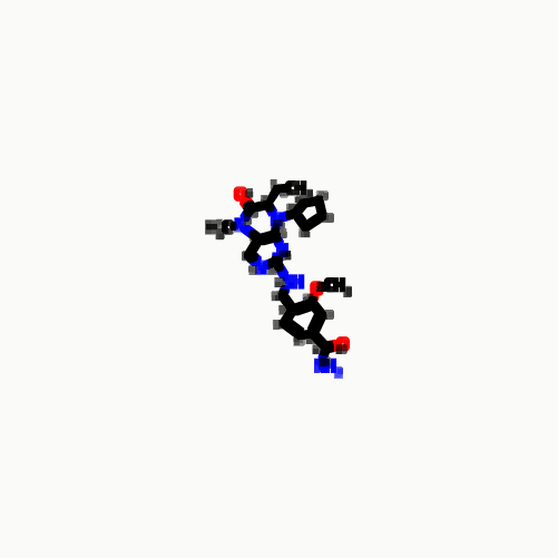 CC[C@@H]1C(=O)N(C)c2cnc(NCc3ccc(C(N)=O)cc3OC)nc2N1C1CCCC1